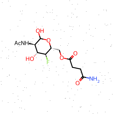 CC(=O)N[C@H]1C(O)O[C@H](COC(=O)CCC(N)=O)[C@@H](F)[C@@H]1O